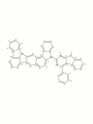 c1ccc(-c2nc(-n3c4ccccc4c4c5cc6c(cc5ccc43)c3cccc4c5ccccc5n6c43)nc3oc4ccccc4c23)cc1